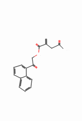 C=C(CC(=O)OC)C(=O)OCC(=O)c1cccc2ccccc12